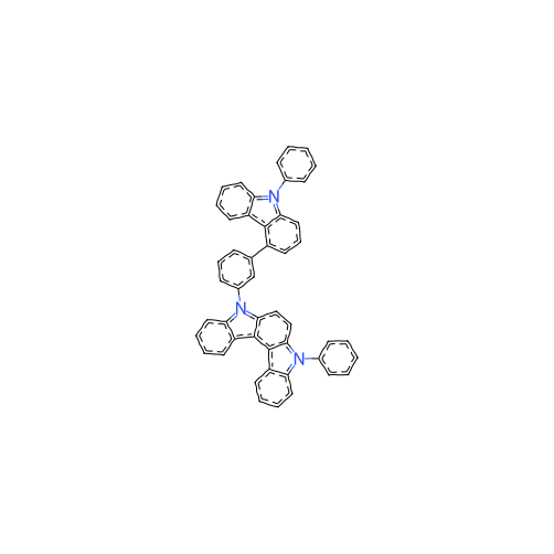 c1ccc(-n2c3ccccc3c3c(-c4cccc(-n5c6ccccc6c6c7c8ccccc8n(-c8ccccc8)c7ccc65)c4)cccc32)cc1